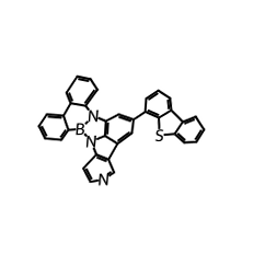 c1ccc2c(c1)B1N(c3ccccc3-2)c2cc(-c3cccc4c3sc3ccccc34)cc3c4cnccc4n1c23